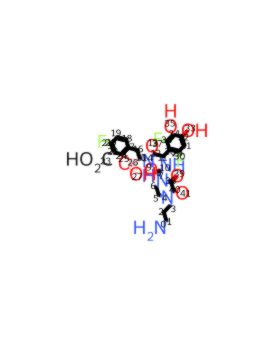 NCCCN1CCN(C(=O)N[C@@H](C(=O)N[C@H]2Cc3ccc(F)c(C(=O)O)c3OB2O)c2c(F)cc(O)c(O)c2F)C(=O)C1=O